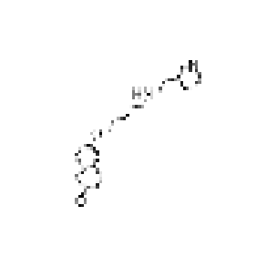 Cn1c(=O)ccc2cc(OCCCCCNCCc3cccnc3)ccc21